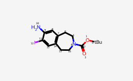 CC(C)(C)OC(=O)N1CCc2cc(N)c(I)cc2CC1